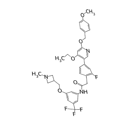 CCOc1cc(OCc2ccc(OC)cc2)ncc1-c1ccc(CC(=O)Nc2cc(OCC3CN(C)C3)cc(C(F)(F)F)c2)c(F)c1